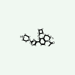 CC(=O)N1c2ccc(-c3csc(N4CCNCC4)n3)c(OC3CCC3)c2CC[C@@H]1C